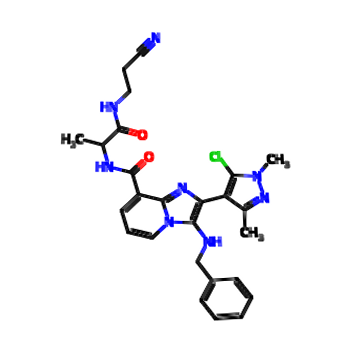 Cc1nn(C)c(Cl)c1-c1nc2c(C(=O)NC(C)C(=O)NCCC#N)cccn2c1NCc1ccccc1